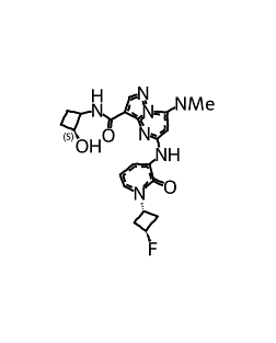 CNc1cc(Nc2cccn([C@H]3C[C@H](F)C3)c2=O)nc2c(C(=O)NC3CC[C@@H]3O)cnn12